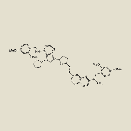 COc1ccc(CNc2ncnc3c2c(C2CCCC2)cn3[C@H]2CC[C@@H](COc3ccc4ccc(N(C)Cc5ccc(OC)cc5OC)nc4c3)O2)c(OC)c1